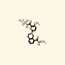 CNC(=O)c1cccc2c1CN(c1ccc(C)c(C(=O)NS(C)(=O)=O)n1)CC2